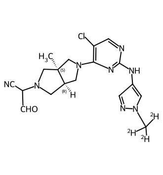 [2H]C([2H])([2H])n1cc(Nc2ncc(Cl)c(N3C[C@H]4CN(C(C#N)C=O)C[C@@]4(C)C3)n2)cn1